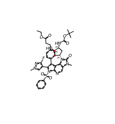 CCOC(=O)CCc1ccc(-c2c(-c3cn(C)nc3F)n(S(=O)(=O)c3ccccc3)c3ncc4c(c23)n([C@@H]2C[C@@H](O)[C@@H](NC(=O)OC(C)(C)C)C2)c(=O)n4C)cc1